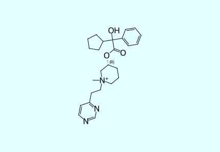 C[N+]1(CCc2ccncn2)CCC[C@@H](OC(=O)C(O)(c2ccccc2)C2CCCC2)C1